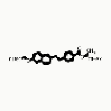 CCCCCCCCCCCOc1ccc2cc(CCc3ccc(C(=O)O[C@H](C)CCCCCC)cc3)ccc2c1